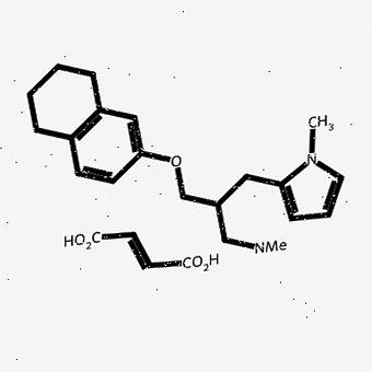 CNCC(COc1ccc2c(c1)CCCC2)Cc1cccn1C.O=C(O)C=CC(=O)O